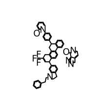 O=C1N=CC=C2C=NN=C12.O=c1ccccn1-c1ccc(C2Cc3c(ccc4c3CC(C(F)(F)F)=CC4c3ccc4c(c3)N(CCc3ccccc3)CC4)-c3ccccc32)cc1